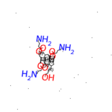 C[C@H](CCCO)C1CC[C@H]2C3[C@H](OC(=O)CCCN)CC4C[C@H](OC(=O)CCCN)CCC4(C)[C@H]3C[C@H](OC(=O)CCCN)C12C